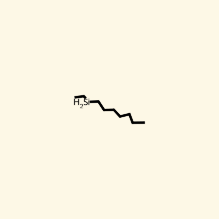 CCCCCCC[SiH2]CC